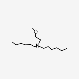 CCCCCCN(CCCCCC)CCOC